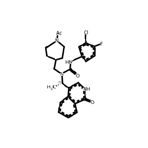 CC(=O)N1CCC(CN(C(=O)Nc2ccc(F)c(Cl)c2)[C@@H](C)c2c[nH]c(=O)c3ccccc23)CC1